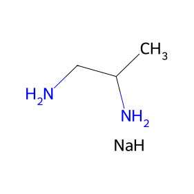 CC(N)CN.[NaH]